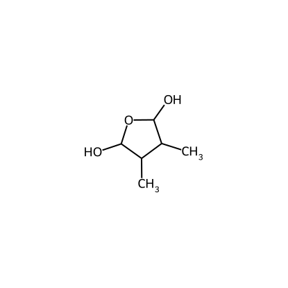 CC1C(O)OC(O)C1C